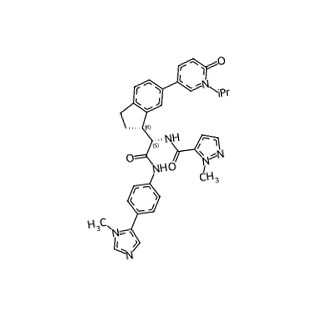 CC(C)n1cc(-c2ccc3c(c2)[C@H]([C@H](NC(=O)c2ccnn2C)C(=O)Nc2ccc(-c4cncn4C)cc2)CC3)ccc1=O